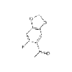 CC(=O)c1cc2c(cc1F)OCO2